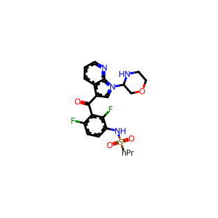 CCCS(=O)(=O)Nc1ccc(F)c(C(=O)c2cn(C3COCCN3)c3ncccc23)c1F